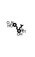 CCOc1cc(O)cc(/C=C/c2ccc([N+](=O)[O-])c(O)c2)c1CC=C(C)C